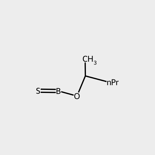 CCCC(C)OB=S